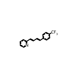 FC(F)(F)c1ccc(C=CC=Cc2ccccn2)cc1